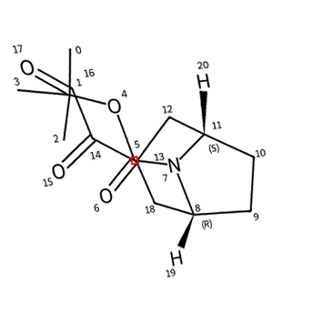 CC(C)(C)OC(=O)N1[C@@H]2CC[C@H]1CC(C(=O)C=O)C2